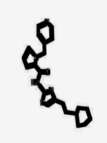 O=C(Nc1nc(CCC2CCCCC2)cs1)c1cccn1Cc1ccncc1